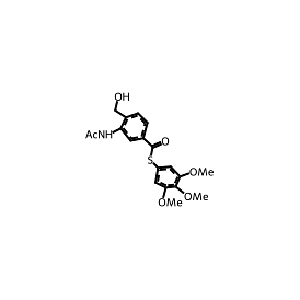 COc1cc(SC(=O)c2ccc(CO)c(NC(C)=O)c2)cc(OC)c1OC